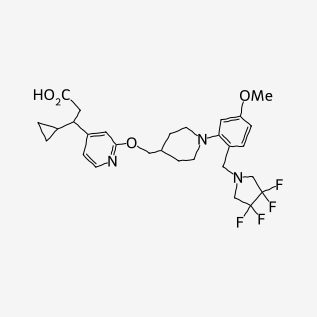 COc1ccc(CN2CC(F)(F)C(F)(F)C2)c(N2CCC(COc3cc(C(CC(=O)O)C4CC4)ccn3)CC2)c1